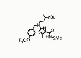 CCCCC(C)CCN(Cc1ccc(OC(F)(F)F)cc1)c1nc(C(=O)NSC)c(C)s1